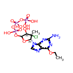 CCOc1nc(N)nc2c1ncn2[C@@H]1OC(OP(=O)(O)OP(=O)(O)OP(=O)(O)O)[C@@H](O)[C@@]1(C)Cl